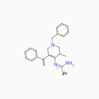 C=C(C1=C(/N=C(\N)C(C)C)C(C)CN(Cc2ccccc2)C1)c1ccccc1